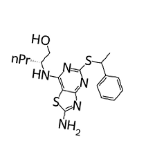 CCC[C@H](CO)Nc1nc(SC(C)c2ccccc2)nc2nc(N)sc12